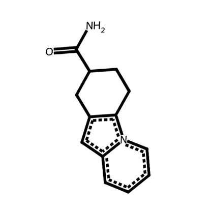 NC(=O)C1CCc2c(cc3ccccn23)C1